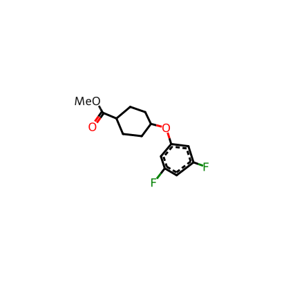 COC(=O)C1CCC(Oc2cc(F)cc(F)c2)CC1